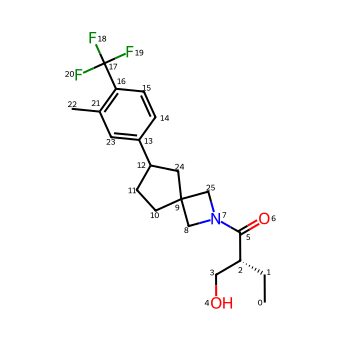 CC[C@H](CO)C(=O)N1CC2(CCC(c3ccc(C(F)(F)F)c(C)c3)C2)C1